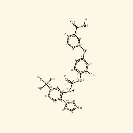 CNC(=O)c1cc(Oc2ccc(NC(=O)Nc3cc(C(F)(F)F)ccc3-n3cncn3)c(F)c2)ccn1